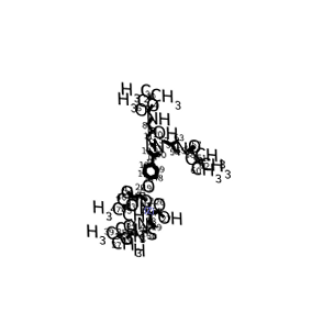 CC(C)(C)OC(=O)NC[C@H](O)Cn1cc(-c2ccc(OC[C@H](O/N=C(\C(=O)O)c3csc(NC(=O)OC(C)(C)C)n3)C(=O)OC(C)(C)C)cc2)c[n+]1CC1CN(C(=O)OC(C)(C)C)C1